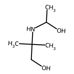 CC(O)NC(C)(C)CO